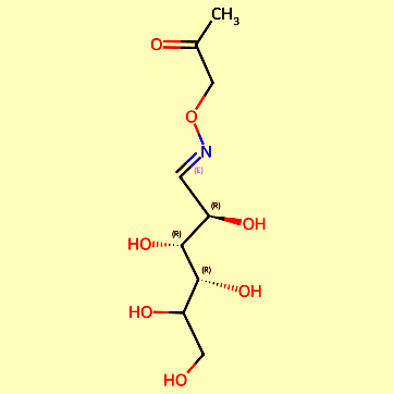 CC(=O)CO/N=C/[C@@H](O)[C@@H](O)[C@H](O)C(O)CO